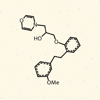 COc1cccc(CCc2ccccc2OCC(O)CN2C=COC=C2)c1